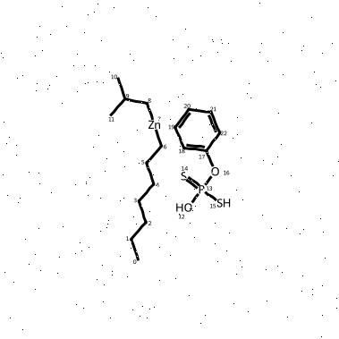 CCCCCC[CH2][Zn][CH2]C(C)C.OP(=S)(S)Oc1ccccc1